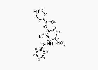 CCc1c(OC(=O)C2CCNCC2)ccc([N+](=O)[O-])c1NCc1ccccc1